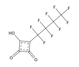 O=c1c(O)c(C(F)(F)C(F)(F)C(F)(F)C(F)(F)F)c1=O